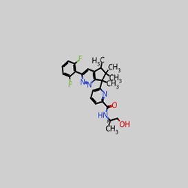 CC1c2cc(-c3c(F)cccc3F)nnc2C(C)(c2cccc(C(=O)N[C@H](C)CO)n2)C1(C)C